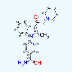 Cc1c(C(=O)CN2CCCCC2)c2ccccc2n1-c1ccc(C(N)O)cc1